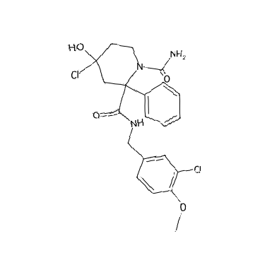 COc1ccc(CNC(=O)C2(c3ccccc3)CC(O)(Cl)CCN2C(N)=O)cc1Cl